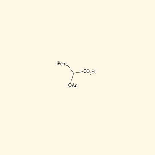 CCCC(C)C(OC(C)=O)C(=O)OCC